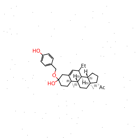 CCC1C=C2CC(O)(OCc3ccc(O)cc3)CC[C@]2(C)[C@H]2CC[C@]3(C)[C@@H](C(C)=O)CC[C@H]3[C@H]12